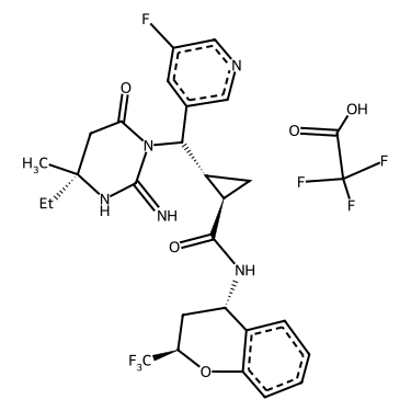 CC[C@]1(C)CC(=O)N(C(c2cncc(F)c2)[C@@H]2C[C@H]2C(=O)N[C@H]2C[C@H](C(F)(F)F)Oc3ccccc32)C(=N)N1.O=C(O)C(F)(F)F